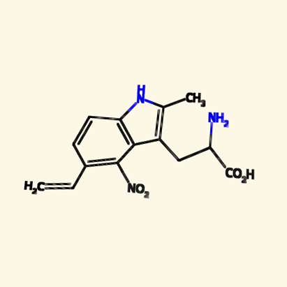 C=Cc1ccc2[nH]c(C)c(CC(N)C(=O)O)c2c1[N+](=O)[O-]